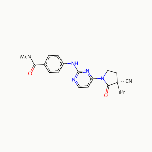 CNC(=O)c1ccc(Nc2nccc(N3CC[C@@](C#N)(C(C)C)C3=O)n2)cc1